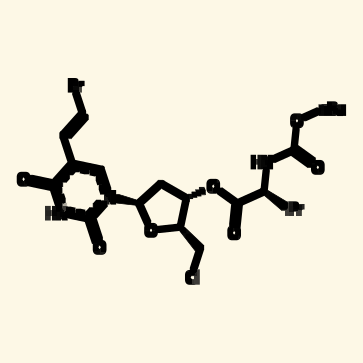 CCCCOC(=O)N[C@H](C(=O)O[C@H]1C[C@H](n2cc(C=CBr)c(=O)[nH]c2=O)O[C@@H]1CCl)C(C)C